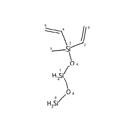 C=C[Si](C)(C=C)O[SiH2]O[SiH3]